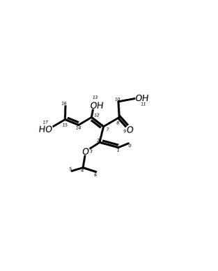 C\C=C(OC(C)C)/C(C(=O)CO)=C(O)\C=C(/C)O